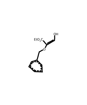 CCOC(=O)/C(=C\O)OCc1ccccc1